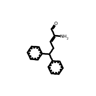 NC(C=O)=CCC(c1ccccc1)c1ccccc1